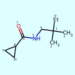 CCC(C)(C)CNC(=O)C1CC1